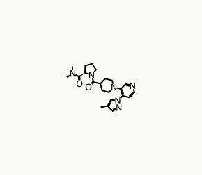 Cc1cnn(-c2ccncc2N2CCC(C(=O)N3CCC[C@@H]3C(=O)N(C)C)CC2)c1